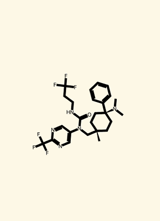 CN(C)[C@]1(c2ccccc2)CC[C@@](C)(CN(C(=O)NCCC(F)(F)F)c2cnc(C(F)(F)F)nc2)CC1